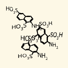 Nc1ccc2c(S(=O)(=O)O)cc(S(=O)(=O)O)cc2c1S(=O)(=O)O.Nc1ccc2c(S(=O)(=O)O)cccc2c1S(=O)(=O)O.Nc1ccc2cc(S(=O)(=O)O)ccc2c1S(=O)(=O)O